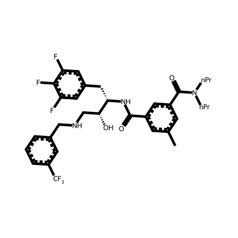 CCCN(CCC)C(=O)c1cc(C)cc(C(=O)N[C@@H](Cc2cc(F)c(F)c(F)c2)[C@H](O)CNCc2cccc(C(F)(F)F)c2)c1